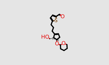 O=Cc1ccc(CCCC2=CC[C@@H](OC3CCCCO3)[C@@H]2CO)s1